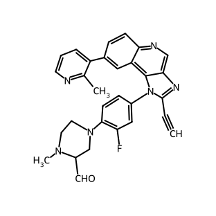 C#Cc1nc2cnc3ccc(-c4cccnc4C)cc3c2n1-c1ccc(N2CCN(C)C(C=O)C2)c(F)c1